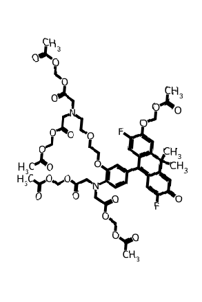 CC(=O)OCOC(=O)CN(CCOCCOc1cc(C2=C3C=C(F)C(=O)C=C3C(C)(C)c3cc(OCOC(C)=O)c(F)cc32)ccc1N(CC(=O)OCOC(C)=O)CC(=O)OCOC(C)=O)CC(=O)OCOC(C)=O